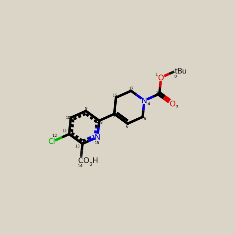 CC(C)(C)OC(=O)N1CC=C(c2ccc(Cl)c(C(=O)O)n2)CC1